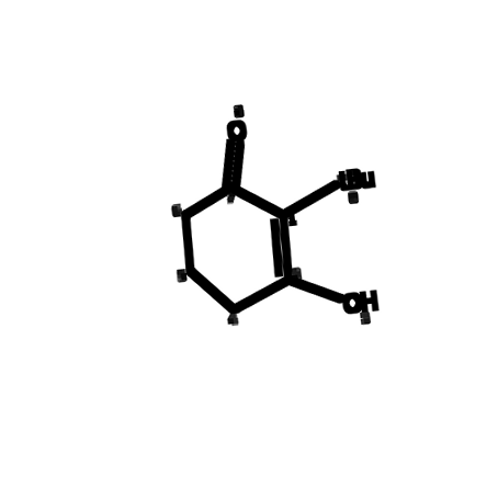 CC(C)(C)C1=C(O)CCCC1=O